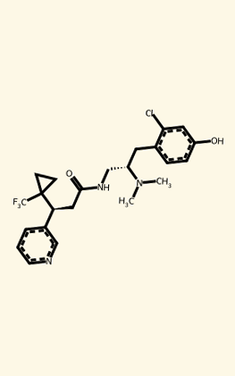 CN(C)[C@H](CNC(=O)C[C@@H](c1cccnc1)C1(C(F)(F)F)CC1)Cc1ccc(O)cc1Cl